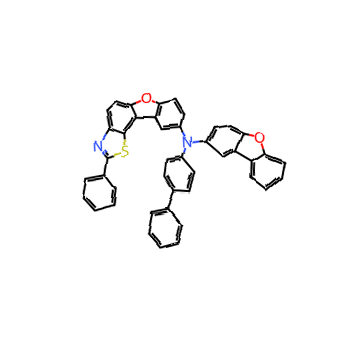 c1ccc(-c2ccc(N(c3ccc4oc5ccccc5c4c3)c3ccc4oc5ccc6nc(-c7ccccc7)sc6c5c4c3)cc2)cc1